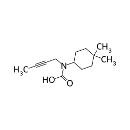 CC#CCN(C(=O)O)C1CCC(C)(C)CC1